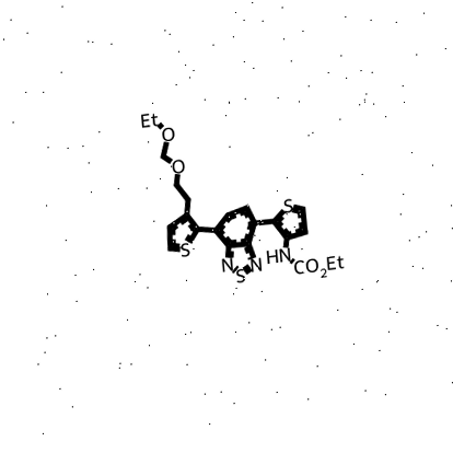 CCOCOCCc1ccsc1-c1ccc(-c2sccc2NC(=O)OCC)c2nsnc12